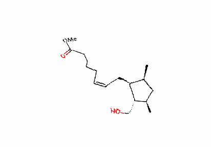 COC(=O)CCC/C=C\C[C@@H]1[C@@H](CO)[C@H](C)C[C@@H]1C